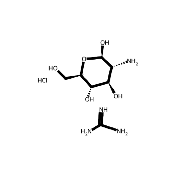 Cl.N=C(N)N.N[C@@H]1[C@@H](O)[C@H](O)[C@@H](CO)O[C@H]1O